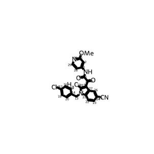 COc1cc(NC(=O)C(=O)c2c(C)n(Cc3ccc(Cl)cc3)c3ccc(C#N)cc23)ccn1